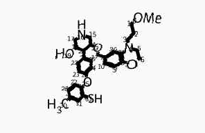 COCCCN1CCOc2ccc(COC3CNCC(O)C3c3ccc(Oc4ccc(C)cc4S)cc3)cc21